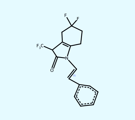 O=C1C(C(F)(F)F)C2=C(CCC(F)(F)C2)N1/C=C/c1ccccc1